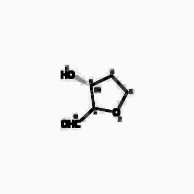 O=CC1OCC[C@H]1O